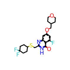 O=c1[nH]c(CSC2CCC(F)(F)CC2)nc2cc(OCC3CCOCC3)cc(F)c12